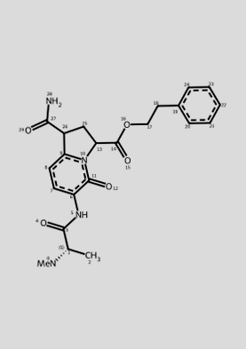 CN[C@@H](C)C(=O)Nc1ccc2n(c1=O)C(C(=O)OCCc1ccccc1)CC2C(N)=O